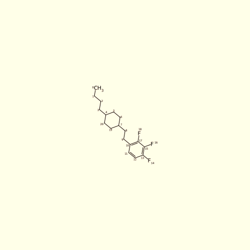 CCCCC1CCC(CCc2ccc(F)c(F)c2F)CC1